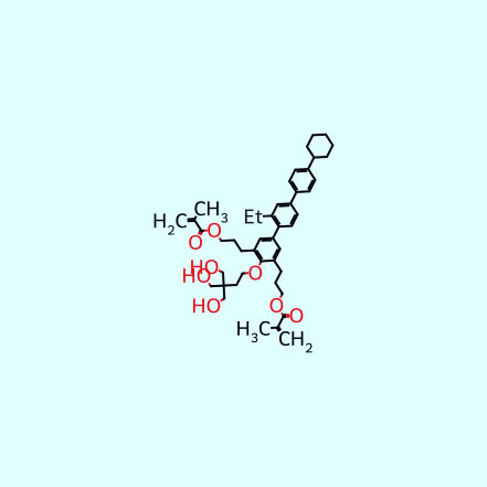 C=C(C)C(=O)OCCCc1cc(-c2ccc(-c3ccc(C4CCCCC4)cc3)cc2CC)cc(CCCOC(=O)C(=C)C)c1OCCC(CO)(CO)CO